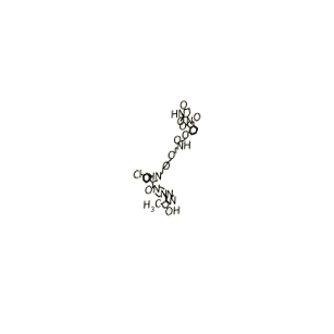 C[C@@H]1C[C@@H](O)c2ncnc(N3CCN(C(=O)C(CNCCOCCOCCNC(=O)COc4cccc5c4C(=O)N(C4CCC(=O)NC4=O)C5=O)c4ccc(Cl)cc4)CC3)c21